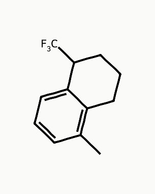 Cc1cccc2c1CCCC2C(F)(F)F